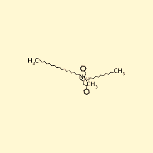 CCCCCCCCCCCCCCCCCCn1cc(CC(C)c2ccccc2)[n+](CCCCCCCCCCCC)c1Cc1ccccc1